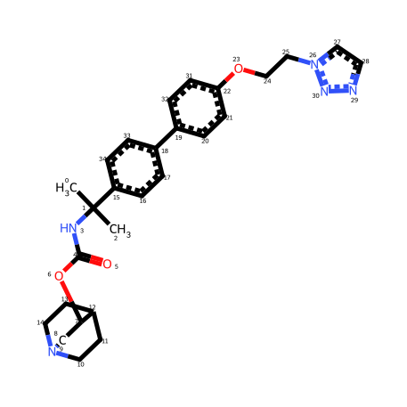 CC(C)(NC(=O)OC1CN2CCC1CC2)c1ccc(-c2ccc(OCCn3ccnn3)cc2)cc1